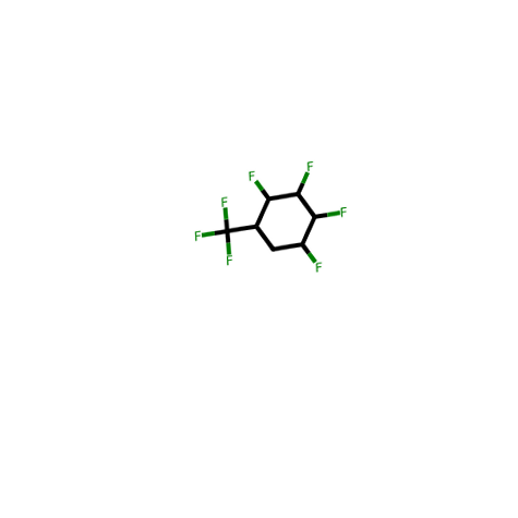 FC1CC(C(F)(F)F)C(F)C(F)C1F